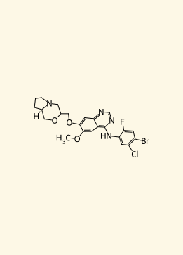 COc1cc2c(Nc3cc(Cl)c(Br)cc3F)ncnc2cc1OCC1CN2CCC[C@@H]2CO1